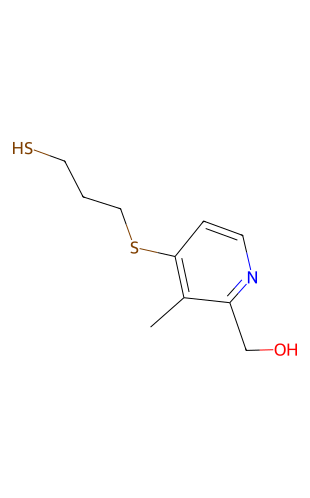 Cc1c(SCCCS)ccnc1CO